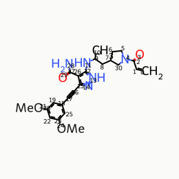 C=CC(=O)N1CCC(CC(C)Nc2[nH]nc(C#Cc3cc(OC)cc(OC)c3)c2C(N)=O)C1